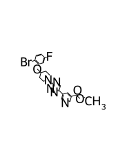 CCOC(=O)c1cncc(-c2cnc(N3CCC(Oc4cc(F)ccc4Br)CC3)nn2)c1